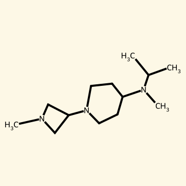 CC(C)N(C)C1CCN(C2CN(C)C2)CC1